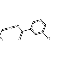 CC=C=NC(=O)c1cccc(CC)c1